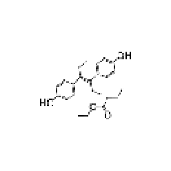 CC/C(=C(/CC)c1ccc(O)cc1)c1ccc(O)cc1.CCCC(=O)OCC